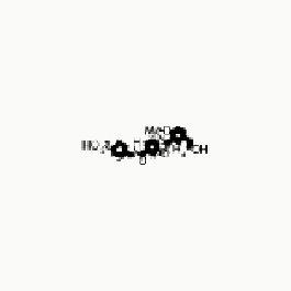 COc1ccc(CCO)cc1[C@H](C)Nc1ccc(C(=O)NCC2CCC(C(=O)O)CC2)cc1Cl